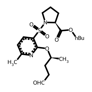 CCCCOC(=O)[C@@H]1CCCN1S(=O)(=O)c1ccc(C)nc1O[C@@H](C)CCC=O